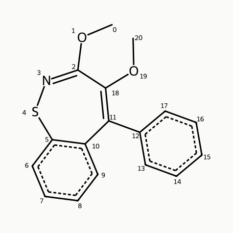 COC1=NSc2ccccc2C(c2ccccc2)=C1OC